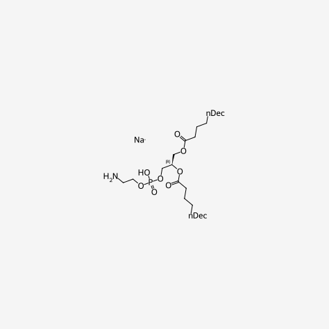 CCCCCCCCCCCCCC(=O)OC[C@H](COP(=O)(O)OCCN)OC(=O)CCCCCCCCCCCCC.[Na]